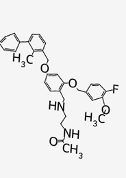 COc1cc(COc2cc(OCc3cccc(-c4ccccc4)c3C)ccc2CNCCNC(C)=O)ccc1F